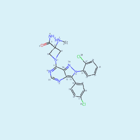 CCNC1(C(N)=O)CN(c2ncnc3c(-c4ccc(Cl)cc4)n(-c4ccccc4Cl)nc23)C1